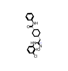 O=C(Nc1ccccc1)[C@H]1CC[C@@H](C/C(=N/O)Nc2cccc(Cl)c2)CC1